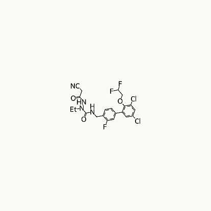 CCN(NC(=O)CC#N)C(=O)NCc1ccc(-c2cc(Cl)cc(Cl)c2OCC(F)F)cc1F